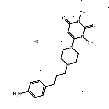 Cl.Cn1c(N2CCN(CCCc3ccc(N)cc3)CC2)cc(=O)n(C)c1=O